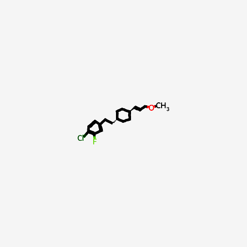 COCC=C[C@H]1CC[C@H](CCc2ccc(Cl)c(F)c2)CC1